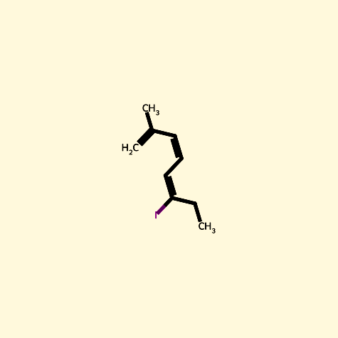 C=C(C)/C=C\C=C(\I)CC